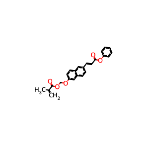 C=C(C)C(=O)OCOc1ccc2cc(/C=C/C(=O)Oc3ccccc3)ccc2c1